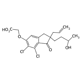 C=CCC1(CCC(C)O)Cc2cc(OCC(=O)O)c(Cl)c(Cl)c2C1=O